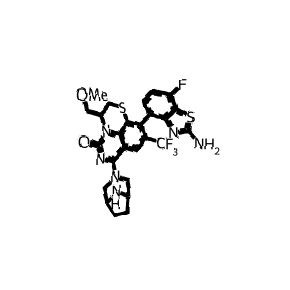 COCC1CSc2c(-c3ccc(F)c4sc(N)nc34)c(C(F)(F)F)cc3c(N4CC5CCC(C4)N5)nc(=O)n1c23